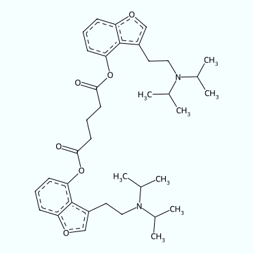 CC(C)N(CCc1coc2cccc(OC(=O)CCCC(=O)Oc3cccc4occ(CCN(C(C)C)C(C)C)c34)c12)C(C)C